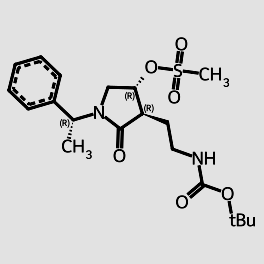 C[C@H](c1ccccc1)N1C[C@H](OS(C)(=O)=O)[C@@H](CCNC(=O)OC(C)(C)C)C1=O